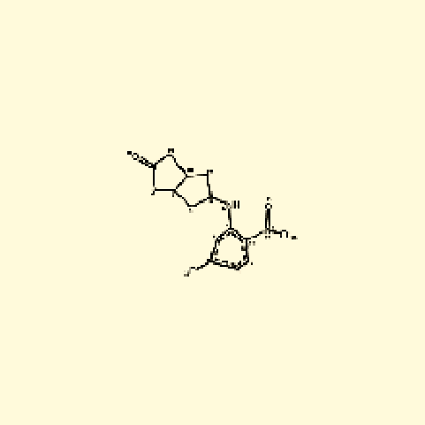 O=C1CC2CC(Nc3cc(F)ccc3[N+](=O)[O-])CC2C1